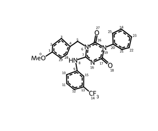 COc1ccc(Cn2c(Nc3cccc(C(F)(F)F)c3)nc(=O)n(-c3ccccc3)c2=O)cc1